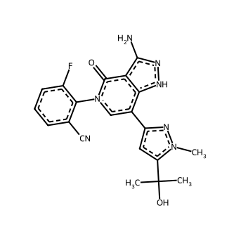 Cn1nc(-c2cn(-c3c(F)cccc3C#N)c(=O)c3c(N)n[nH]c23)cc1C(C)(C)O